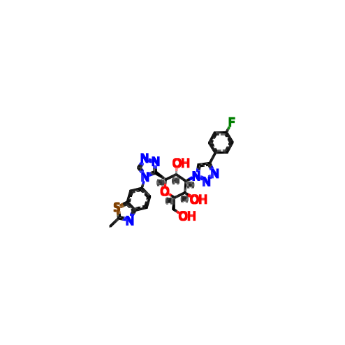 Cc1nc2ccc(-n3cnnc3[C@@H]3O[C@H](CO)[C@H](O)[C@H](n4cc(-c5ccc(F)cc5)nn4)[C@H]3O)cc2s1